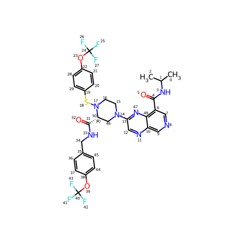 CC(C)NC(=O)c1cncc2ncc(N3CCN(Sc4ccc(OC(F)(F)F)cc4)[C@@H](C(=O)NCc4ccc(OC(F)(F)F)cc4)C3)nc12